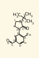 CC(C)(C)N1CCN(c2cc(C=O)ccc2F)C1=O